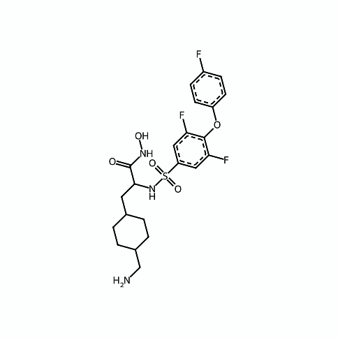 NCC1CCC(CC(NS(=O)(=O)c2cc(F)c(Oc3ccc(F)cc3)c(F)c2)C(=O)NO)CC1